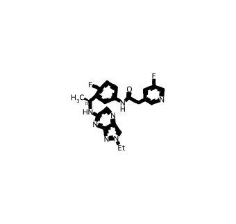 CCn1cc2ncc(N[C@@H](C)c3cc(NC(=O)Cc4cncc(F)c4)ccc3F)nc2n1